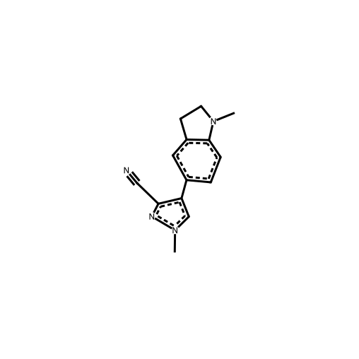 CN1CCc2cc(-c3cn(C)nc3C#N)ccc21